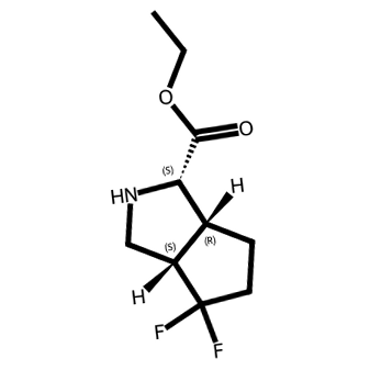 CCOC(=O)[C@H]1NC[C@@H]2[C@H]1CCC2(F)F